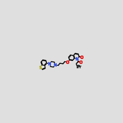 CC(C)CC(=O)n1c(=O)ccc2ccc(OCCCCN3CCN(c4cccc5sccc45)CC3)cc21